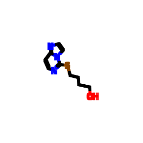 OCCCCSc1nccc2nccn12